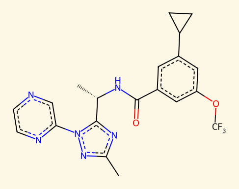 Cc1nc([C@H](C)NC(=O)c2cc(OC(F)(F)F)cc(C3CC3)c2)n(-c2cnccn2)n1